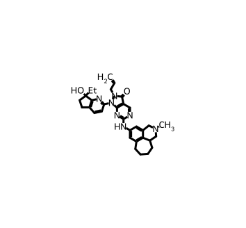 C=CCn1c(=O)c2cnc(Nc3cc4c5c(c3)CN(C)CC5CCCC4)nc2n1-c1ccc2c(n1)C(O)(CC)CC2